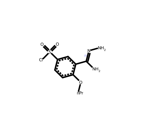 CCCOc1ccc(S(=O)(=O)Cl)cc1/C(N)=N/N